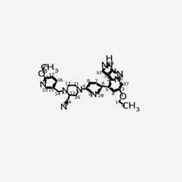 CCOc1cc(-c2ccc(N3CCN(Cc4ccc(OC)nc4)C(C#N)C3)nc2)c2c3cn[nH]c3nn2c1